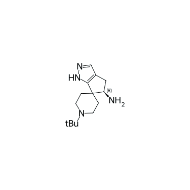 CC(C)(C)N1CCC2(CC1)c1[nH]ncc1C[C@H]2N